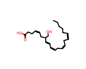 CCCCC/C=C\C/C=C\C/C=C\C=C\C(CO)C/C=C\CCC(=O)O